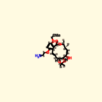 COCOc1ccc(OCCN)c2c1C(=O)O[C@@H](C)[C@H](C)/C=C\C(O)[C@H]1OC(C)(C)O[C@H]1C/C=C/2